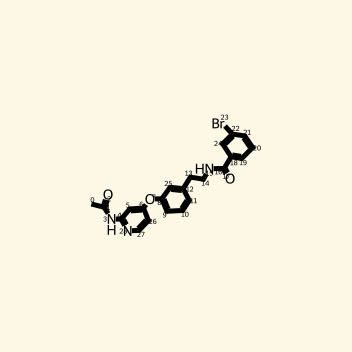 CC(=O)Nc1cc(Oc2cccc(CCNC(=O)c3cccc(Br)c3)c2)ccn1